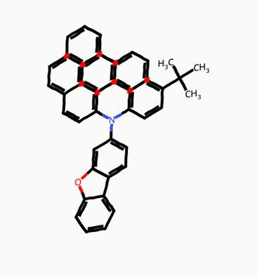 CC(C)(C)c1ccc(N(c2ccc3c(c2)oc2ccccc23)c2ccc3ccccc3c2-c2ccccc2-c2ccccc2)c(-c2ccccc2)c1